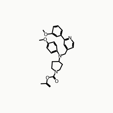 C=C(C)OC(=O)N1CCC(N(Cc2ccnc(-c3cccc(OC)c3)c2)c2ccc(OC)cc2)CC1